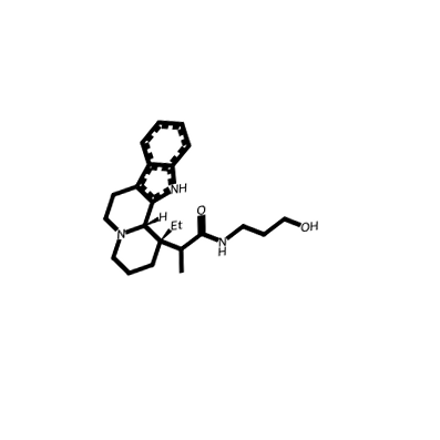 CC[C@@]1(C(C)C(=O)NCCCO)CCCN2CCc3c([nH]c4ccccc34)[C@@H]21